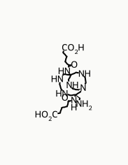 NC[C@@]1(NC(=O)CCCC(=O)O)CNCCNC[C@]2(NC(=O)CCCC(=O)O)CNCC[N@](CCNC2)C1